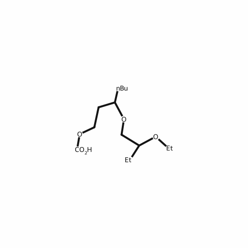 CCCCC(CCOC(=O)O)OCC(CC)OCC